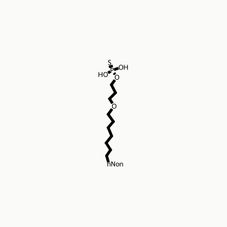 CCCCCCCCCCCCCCCCOCCCOP(O)(O)=S